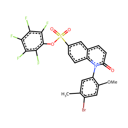 COc1cc(Br)c(C)cc1-n1c(=O)ccc2cc(S(=O)(=O)Oc3c(F)c(F)c(F)c(F)c3F)ccc21